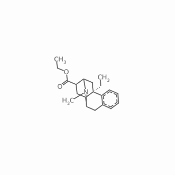 CCOC(=O)C1CC2C3Cc4ccccc4[C@]2(CC)CC1N3C